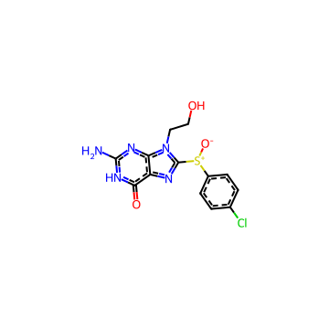 Nc1nc2c(nc([S+]([O-])c3ccc(Cl)cc3)n2CCO)c(=O)[nH]1